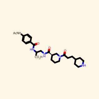 CC(=O)Nc1ccc(C(=O)NC(CNC(=O)[C@@H]2CCCN(C(=O)CCC3CCNCC3)C2)C(=O)O)cc1